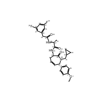 COc1ccc([C@@H]2C=CC[C@@H](NC(=O)[C@H](C)NC(=O)Cc3cc(F)cc(F)c3)C(=O)N2CC2CC2)cc1